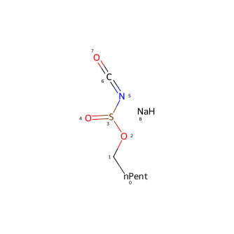 CCCCCCOS(=O)N=C=O.[NaH]